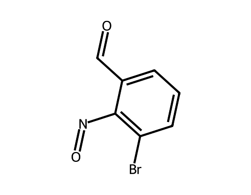 O=Cc1cccc(Br)c1N=O